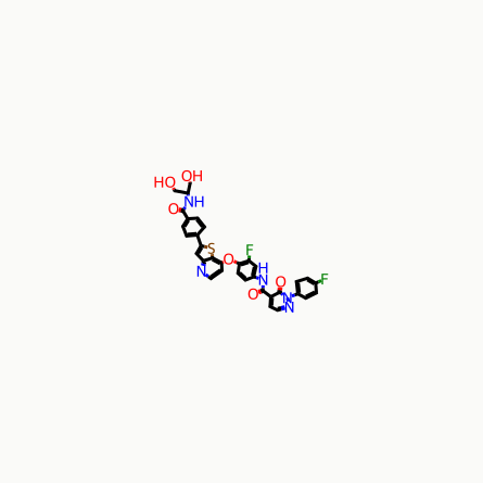 O=C(NC(CO)CO)c1ccc(-c2cc3nccc(Oc4ccc(NC(=O)c5ccnn(-c6ccc(F)cc6)c5=O)cc4F)c3s2)cc1